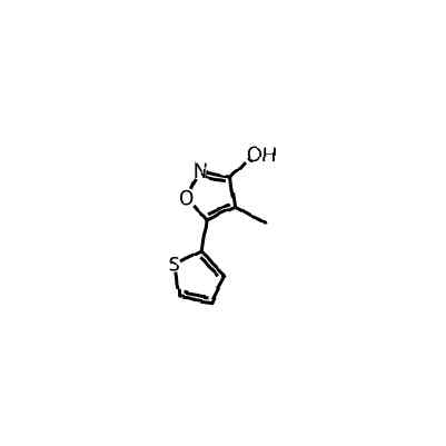 Cc1c(O)noc1-c1cccs1